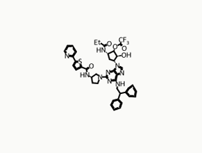 CCC(=O)N[C@H]1C[C@@H](n2cnc3c(NCC(c4ccccc4)c4ccccc4)nc(N4CC[C@@H](NC(=O)c5ccc(-c6ccccn6)s5)C4)nc32)[C@H](O)[C@@H]1OC(=O)C(F)(F)F